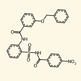 O=C(Nc1ccccc1S(=O)(=O)NC(=O)c1ccc([N+](=O)[O-])cc1)c1cccc(OCc2ccccc2)c1